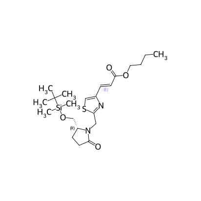 CCCCOC(=O)/C=C/c1csc(CN2C(=O)CC[C@@H]2CO[Si](C)(C)C(C)(C)C)n1